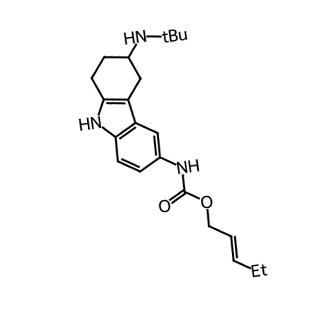 CC/C=C/COC(=O)Nc1ccc2[nH]c3c(c2c1)CC(NC(C)(C)C)CC3